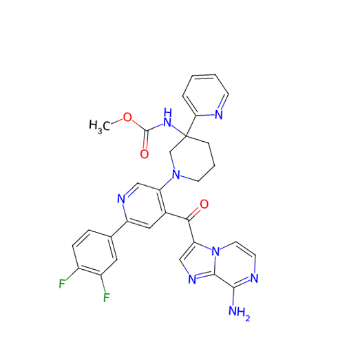 COC(=O)NC1(c2ccccn2)CCCN(c2cnc(-c3ccc(F)c(F)c3)cc2C(=O)c2cnc3c(N)nccn23)C1